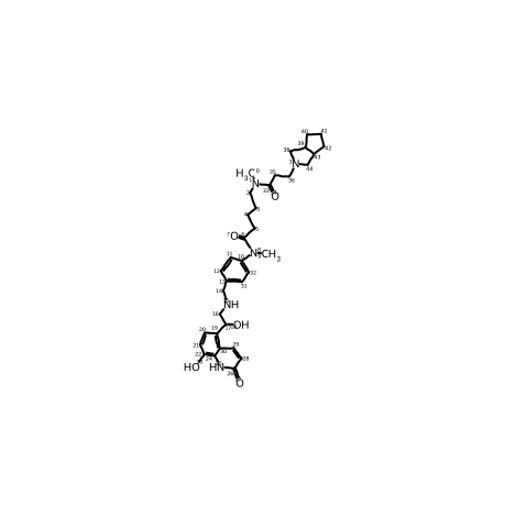 CN(CCCCC(=O)N(C)c1ccc(CNCC(O)c2ccc(O)c3[nH]c(=O)ccc23)cc1)C(=O)CCN1CC2CCCC2C1